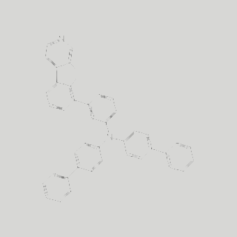 c1ccc(-c2ccc(N(c3ccc(-c4ccccc4)cc3)c3cccc(-c4cccc5c4sc4cnccc45)c3)cc2)cc1